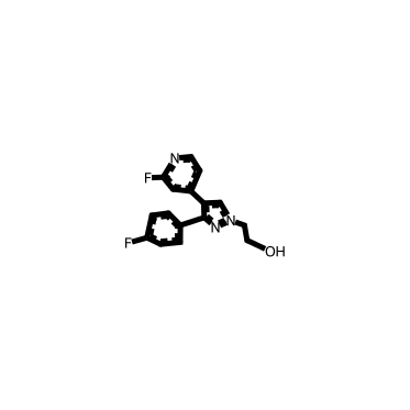 OCCn1cc(-c2ccnc(F)c2)c(-c2ccc(F)cc2)n1